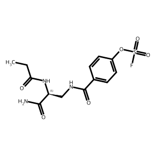 CCC(=O)N[C@@H](CNC(=O)c1ccc(OS(=O)(=O)F)cc1)C(N)=O